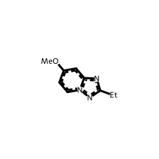 CCc1nc2cc(OC)ccn2n1